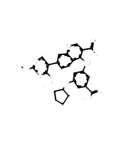 COc1ncc(-c2ccc3c(Nc4cc(OC5CCCC5)cc(C(=O)O)c4)c(C(N)=O)cnc3c2)c(OC)n1